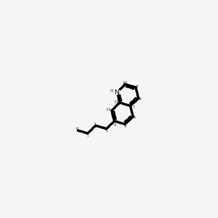 CCCCc1ccc2cccnc2c1